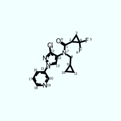 O=C(C1CC1(F)F)N(CC1CC1)c1cn(-c2cccnc2)nc1Cl